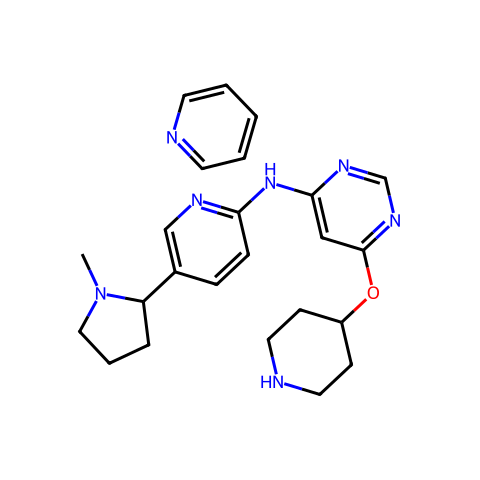 CN1CCCC1c1ccc(Nc2cc(OC3CCNCC3)ncn2)nc1.c1ccncc1